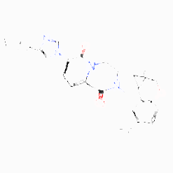 Cc1cn(-c2ccc3n(c2=O)CCN(C[C@]24C[C@H]2COc2ccc(C(F)(F)F)cc24)C3=O)cn1